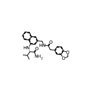 CC(C)[C@H](Nc1cc(CNC(=O)Cc2ccc3c(c2)OCO3)cc2ccccc12)C(N)=O